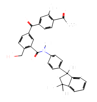 CNC(=O)c1ccc(C(=O)c2ccc(CO)c(C(=O)N(C)c3ccc(C4(C)CC(C)(C)c5ccccc54)cc3)c2)cc1C=O